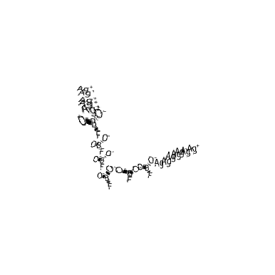 [Ag+].[Ag+].[Ag+].[Ag+].[Ag+].[Ag+].[Ag+].[Ag+].[Ag+].[Ag+].[Ag+].[Ag+].[O-]B([O-])F.[O-]B([O-])F.[O-]B([O-])F.[O-]B([O-])F.[O-]B([O-])F.[O-]B([O-])F